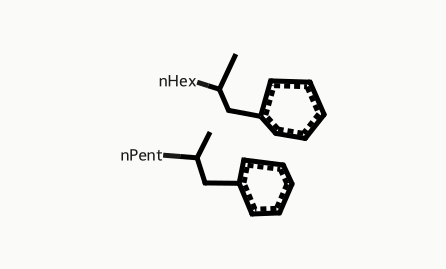 CCCCCC(C)Cc1ccccc1.CCCCCCC(C)Cc1ccccc1